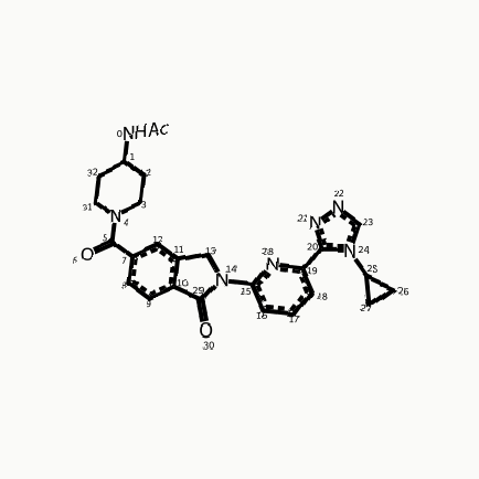 CC(=O)NC1CCN(C(=O)c2ccc3c(c2)CN(c2cccc(-c4nncn4C4CC4)n2)C3=O)CC1